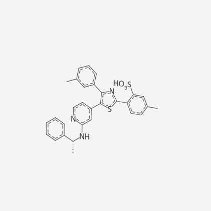 Cc1cccc(-c2nc(-c3ccc(C)cc3S(=O)(=O)O)sc2-c2ccnc(N[C@H](C)c3ccccc3)c2)c1